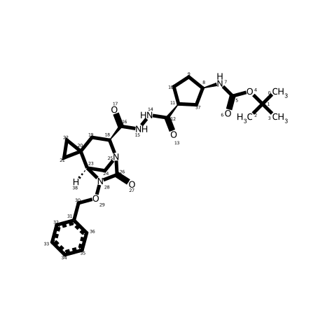 CC(C)(C)OC(=O)N[C@@H]1CC[C@H](C(=O)NNC(=O)[C@@H]2CC3(CC3)[C@H]3CN2C(=O)N3OCc2ccccc2)C1